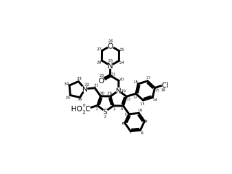 O=C(O)c1sc2c(-c3ccccc3)c(-c3ccc(Cl)cc3)n(CC(=O)N3CCOCC3)c2c1CN1CCCC1